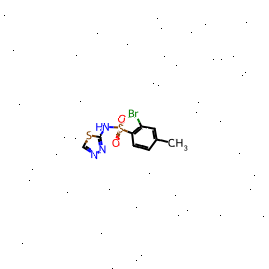 Cc1ccc(S(=O)(=O)Nc2nncs2)c(Br)c1